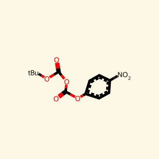 CC(C)(C)OC(=O)OC(=O)Oc1ccc([N+](=O)[O-])cc1